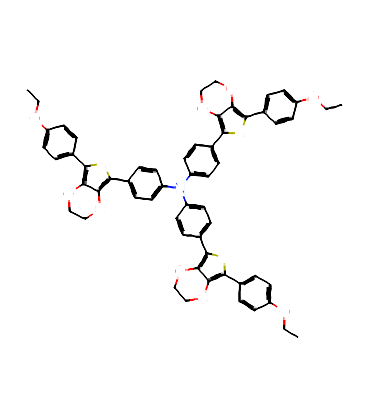 CCOc1ccc(-c2sc(-c3ccc(N(c4ccc(-c5sc(-c6ccc(OCC)cc6)c6c5OCCO6)cc4)c4ccc(-c5sc(-c6ccc(OCC)cc6)c6c5OCCO6)cc4)cc3)c3c2OCCO3)cc1